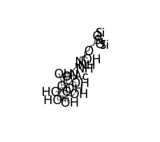 CC(=O)N(CC1=CN(CC(O)COCCC[Si](C)(O[Si](C)(C)C)O[Si](C)(C)C)NN1)[C@@H]1O[C@@H](CO)[C@@H](O[C@@H]2OC(CO)[C@@H](O)[C@H](O)C2O)C(O)C1O